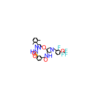 Cc1cccc(C)c1-c1cc2nc(n1)NS(=O)(=O)c1cccc(c1)C(=O)NCC1(CCN(Cc3cccc(OC(F)(F)F)c3F)CC1)CO2